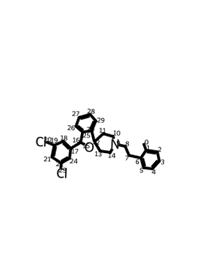 Cc1ccccc1CCN1CCC2(CC1)OC(c1cc(Cl)cc(Cl)c1)c1ccccc12